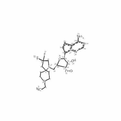 N#CCN1CCC2(CC1)CC(F)(F)CN2C[C@H]1O[C@@H](c2ccc3c(N)ncnn23)[C@H](O)[C@@H]1C=O